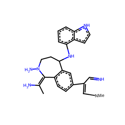 CN/C=C(\C=N)c1ccc2c(c1)C(Nc1cccc3[nH]ccc13)CCN(N)/C2=C(/C)N